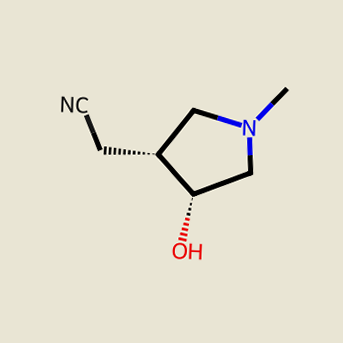 CN1C[C@@H](CC#N)[C@@H](O)C1